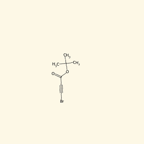 CC(C)(C)OC(=O)C#CBr